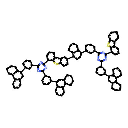 c1cc(-c2nc(-c3cccc(-c4cc5ccccc5c5ccccc45)c3)nc(-c3cccc4c3sc3ccccc34)n2)cc(-c2ccc(-c3ccc4sc5c(-c6nc(-c7cccc(-c8cc9ccccc9c9ccccc89)c7)nc(-c7cccc(-c8cc9ccccc9c9ccccc89)c7)n6)cccc5c4c3)c3ccccc23)c1